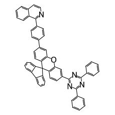 c1ccc(-c2nc(-c3ccccc3)nc(-c3ccc4c(c3)Oc3cc(-c5ccc(-c6nccc7ccccc67)cc5)ccc3C43c4ccccc4-c4ccccc43)n2)cc1